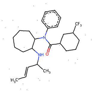 CC=CC(C)NC1CCCCCC1N(C(=O)C1CCCC(C(F)(F)F)C1)c1ccccc1